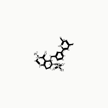 CCS(=O)(=O)N[C@H]1CCc2ncn(C(C)C)c(=O)c2[C@H]1Cc1cccc(-c2cc(C)cc(C)n2)c1